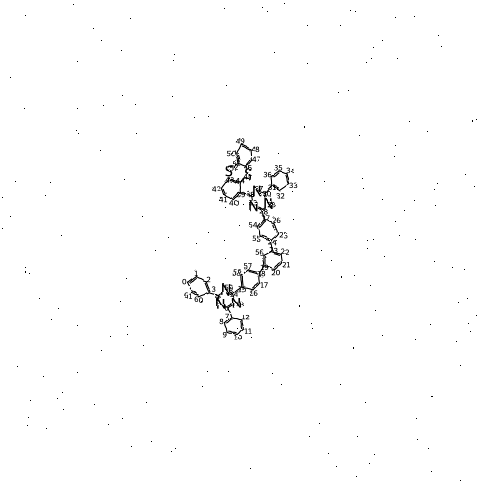 c1ccc(-c2nc(-c3ccccc3)nc(-c3ccc(-c4cccc(-c5ccc(-c6nc(-c7ccccc7)nc(-c7cccc8c7Sc7ccccc7S8)n6)cc5)c4)cc3)n2)cc1